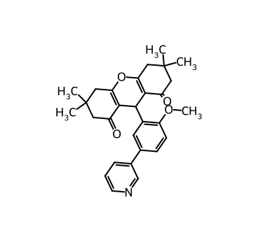 COc1ccc(-c2cccnc2)cc1C1C2=C(CC(C)(C)CC2=O)OC2=C1C(=O)CC(C)(C)C2